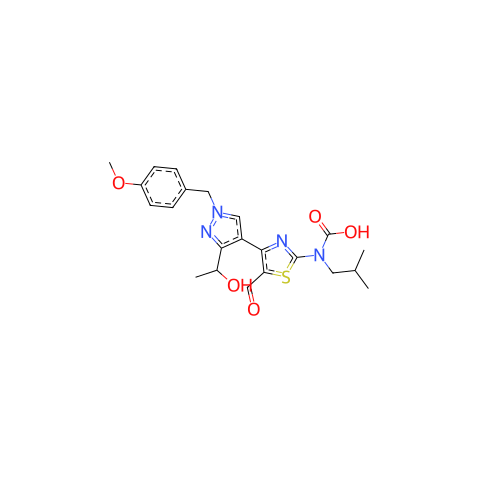 COc1ccc(Cn2cc(-c3nc(N(CC(C)C)C(=O)O)sc3C=O)c(C(C)O)n2)cc1